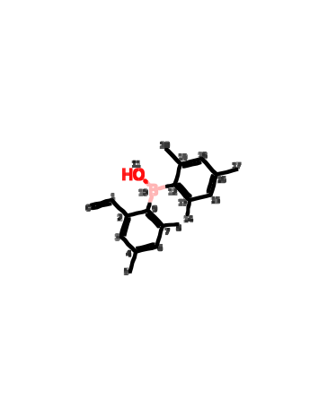 C=Cc1cc(C)cc(C)c1B(O)c1c(C)cc(C)cc1C